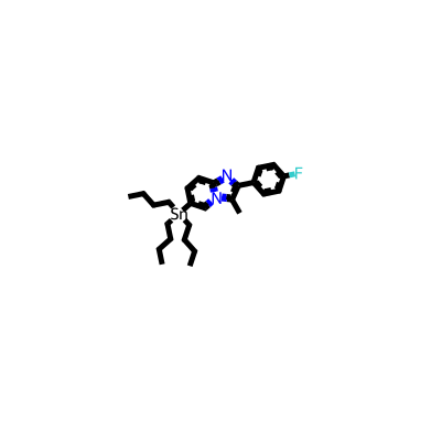 CCC[CH2][Sn]([CH2]CCC)([CH2]CCC)[c]1ccc2nc(-c3ccc(F)cc3)c(C)n2c1